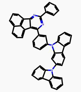 c1ccc(-c2nc(-c3cccc(-n4c5ccccc5c5ccc(-n6c7ccccc7c7ccccc76)cc54)c3)c3c(n2)-c2cccc4cccc-3c24)cc1